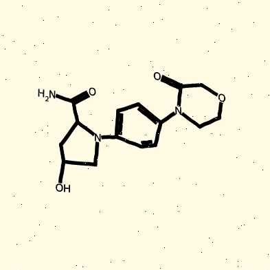 NC(=O)C1CC(O)CN1c1ccc(N2CCOCC2=O)cc1